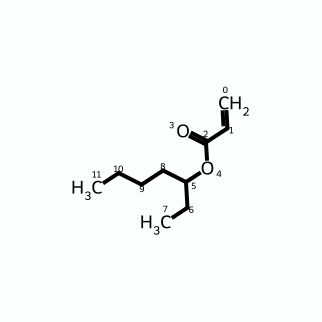 C=CC(=O)OC(CC)CCCC